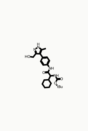 Cc1[nH]nc(CO)c1-c1ccc(NC(=O)C(NC(=O)OC(C)(C)C)C2CCCCC2)cc1